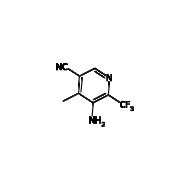 Cc1c(C#N)cnc(C(F)(F)F)c1N